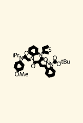 COc1ccc(N(C(=O)CN2C(=O)C(Cc3nn(C(=O)OC(C)(C)C)c4ccccc34)C(=O)N(c3ccsc3)c3ccccc32)C(C)C)cc1